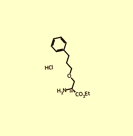 CCOC(=O)[C@@H](N)COCCCc1ccccc1.Cl